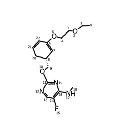 CCOCCOC1=C[C@H](COc2ncc(F)c(NC)n2)CC=C1